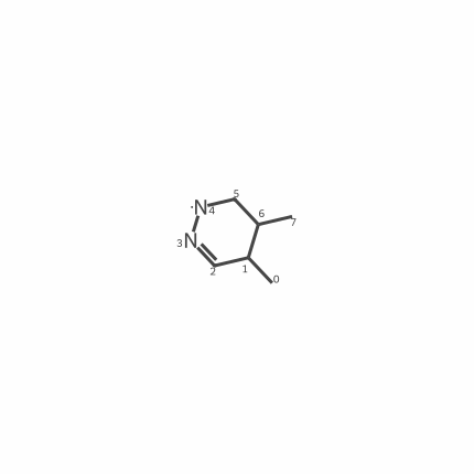 CC1C=N[N]CC1C